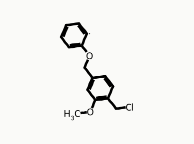 COc1cc(COc2[c]cccc2)ccc1CCl